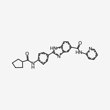 O=C(Nc1ccccn1)c1ccc2[nH]c(-c3ccc(NC(=O)C4CCCC4)cc3)nc2c1